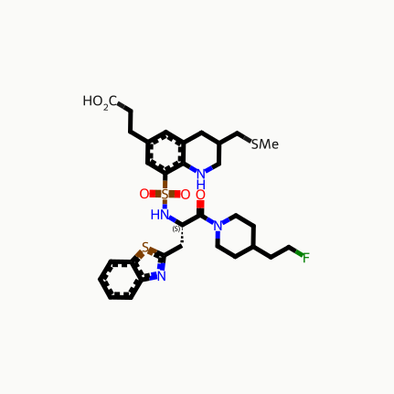 CSCC1CNc2c(cc(CCC(=O)O)cc2S(=O)(=O)N[C@@H](Cc2nc3ccccc3s2)C(=O)N2CCC(CCF)CC2)C1